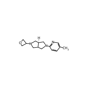 Cc1ccc(N2CC3CN(C4COC4)C[C@H]3C2)nc1